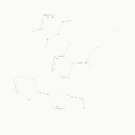 CCOCOC(=O)c1ccccc1Nc1c(Cl)ccc(C)c1Cl.Cl.c1ccc(C2CN3CCSC3=N2)cc1